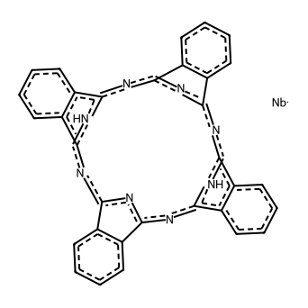 [Nb].c1ccc2c(c1)-c1nc-2nc2[nH]c(nc3nc(nc4[nH]c(n1)c1ccccc41)-c1ccccc1-3)c1ccccc21